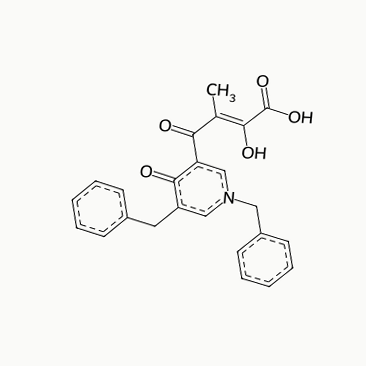 CC(C(=O)c1cn(Cc2ccccc2)cc(Cc2ccccc2)c1=O)=C(O)C(=O)O